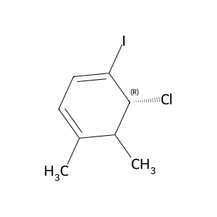 CC1=CC=C(I)[C@H](Cl)C1C